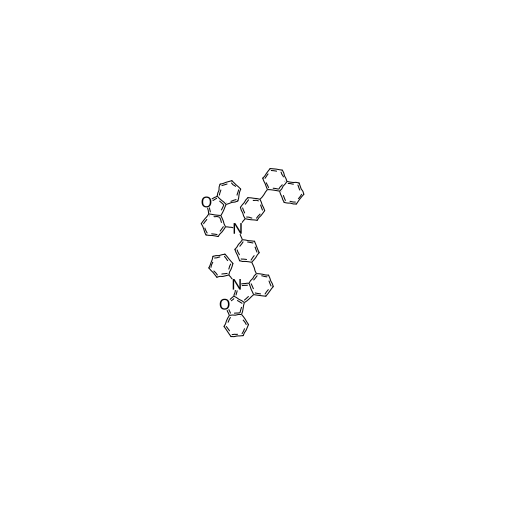 c1ccc(-n2c3oc4ccccc4c3c3cccc(-c4ccc(N(c5ccc(-c6cccc7ccccc67)cc5)c5cccc6oc7ccccc7c56)cc4)c32)cc1